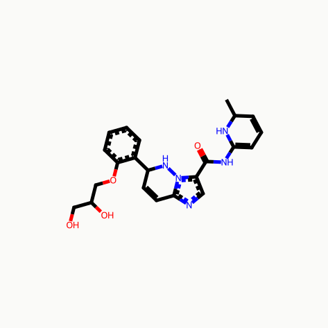 CC1C=CC=C(NC(=O)c2cnc3n2NC(c2ccccc2OCC(O)CO)C=C3)N1